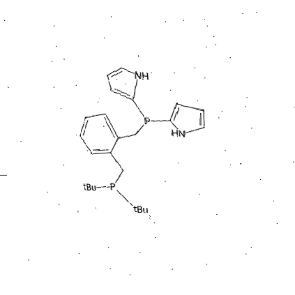 CC(C)(C)P(Cc1ccccc1CP(c1ccc[nH]1)c1ccc[nH]1)C(C)(C)C